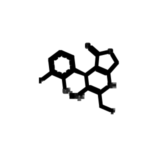 O=C(O)C1=C(CF)NC2=C(C(=O)OC2)[C@@H]1c1cccc(F)c1C(F)(F)F